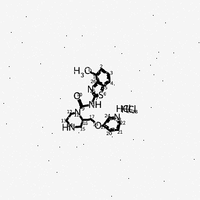 Cc1cccc2sc(NC(=O)N3CCNCC3COc3cccnc3)nc12.Cl.Cl